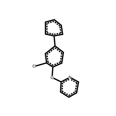 Clc1cc(-c2ccccc2)ccc1Oc1ccccn1